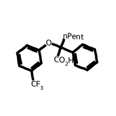 CCCCCC(Oc1cccc(C(F)(F)F)c1)(C(=O)O)c1ccccc1